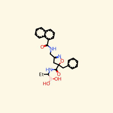 CCC(NC(=O)C1(Cc2ccccc2)CC(CNC(=O)c2cccc3ccccc23)=NO1)B(O)O